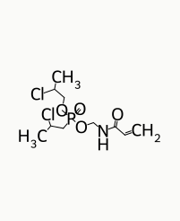 C=CC(=O)NCOP(=O)(CC(C)Cl)OCC(C)Cl